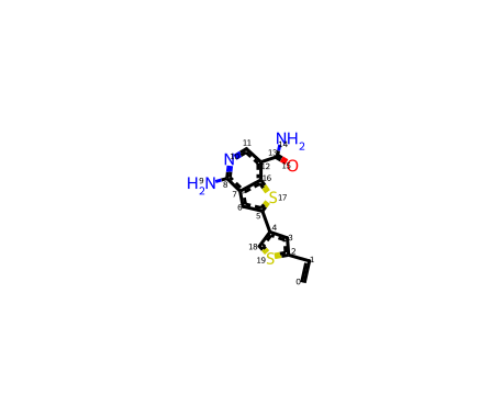 C=Cc1cc(-c2cc3c(N)ncc(C(N)=O)c3s2)cs1